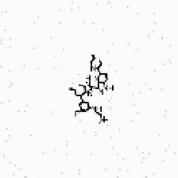 C=C/C=N\C(=C/C)c1ccc2[nH]nc(-c3nc(/C(=C\C=C)c4cc(F)cc(NCCN(C)C)c4)c(C)[nH]3)c2n1